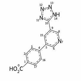 O=C(O)c1ccc(-c2cncc(-c3nnn[nH]3)c2)cc1